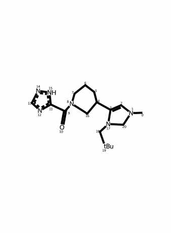 CN1C=C(C2CCCN(C(=O)c3ncn[nH]3)C2)N(CC(C)(C)C)C1